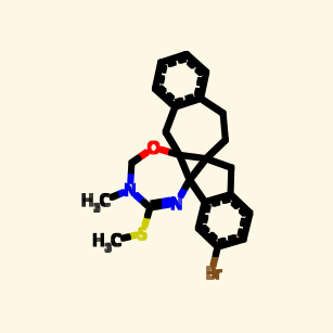 CSC1=NC23c4cc(Br)ccc4CC24CCc2ccccc2CC43OCN1C